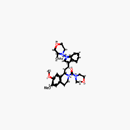 CCOc1cc2c(cc1OC)CCN(C(=O)N1CCOCC1)C2CCc1cn(N2CCOCC2OC)c2ccccc12